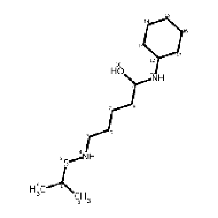 CC(C)SNCCCCC(O)NC1CCCCC1